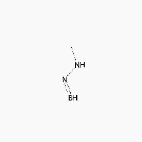 B=NNC